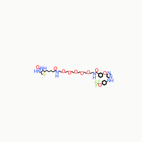 O=C(CCCCC1SCC2NC(=O)NC21)NCCOCCOCCOCCOCCOCCNC(=O)c1cccc(Oc2cc(Nc3ccc(OC(F)(F)F)cc3)ncn2)c1